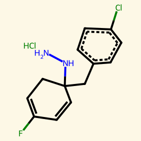 Cl.NNC1(Cc2ccc(Cl)cc2)C=CC(F)=CC1